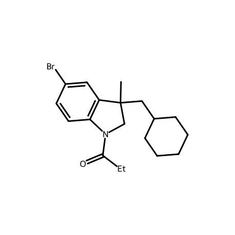 CCC(=O)N1CC(C)(CC2CCCCC2)c2cc(Br)ccc21